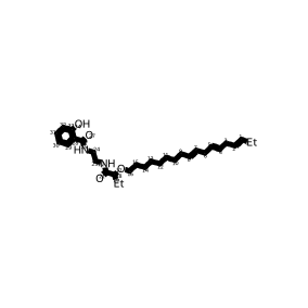 CCC=CCC=CCC=CCCCCCCCCOC(CC)C(=O)NCCNC(=O)c1ccccc1O